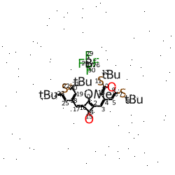 COC1=C(C=C2C=C(SC(C)(C)C)OC(SC(C)(C)C)=C2)C(=O)C1=Cc1cc(C(C)(C)C)[s+]c(C(C)(C)C)c1.F[B-](F)(F)F